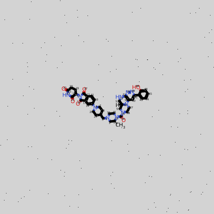 C[C@@H]1CN(CC2CCN(c3ccc4c(c3)C(=O)N(C3CCC(=O)NC3=O)C4=O)CC2)CCN1C(=O)N1CCN2c3cc(-c4ccccc4O)nnc3NC[C@H]2C1